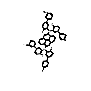 N#Cc1cccc(-c2ccc(F)c(N(c3cc(-c4ccc(F)cc4)ccc3F)c3cc4cccc5c(N(c6cc(-c7ccc(F)cc7)ccc6F)c6cc(-c7cccc(C#N)c7)ccc6F)cc6cccc3c6c45)c2)c1